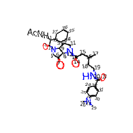 CC(=O)NC(C(=O)N1CC(=O)C2C1CCN2C(=O)CC(C)CCNC(=O)c1ccc(N(C)C)cc1)C1CCCCC1